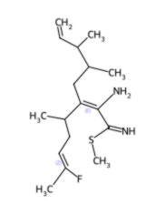 C=CC(C)C(C)C/C(=C(\N)C(=N)SC)C(C)C/C=C(/C)F